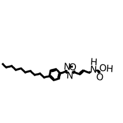 CCCCCCCCCCc1ccc(-c2noc(/C=C/CNC(=O)O)n2)cc1